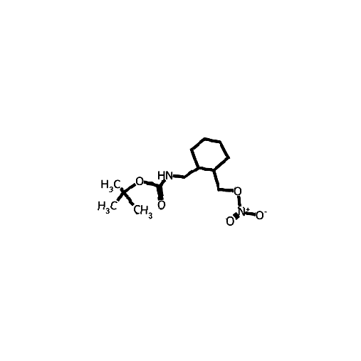 CC(C)(C)OC(=O)NCC1CCCCC1CO[N+](=O)[O-]